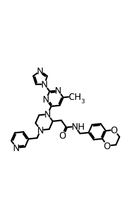 Cc1cc(N2CCN(Cc3cccnc3)CC2CC(=O)NCc2ccc3c(c2)OCCO3)nc(-n2ccnc2)n1